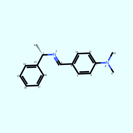 C[C@H](N=Cc1ccc(N(C)C)cc1)c1ccccc1